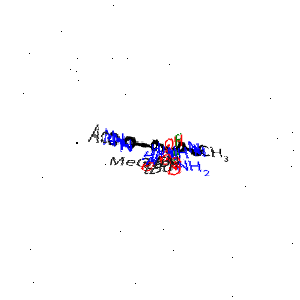 COC(=O)NC(C(=O)NC(Cc1ccc(C#Cc2ccc(N3CCN(C(C)=O)CC3)nc2)cc1)C(O)CN(Cc1c(F)cc(-c2ccn(C)n2)cc1F)NC(=O)C(OC(N)=O)C(C)(C)C)C(C)(C)C